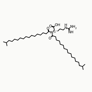 CC(C)CCCCCCCCCCCCCCC(=O)N(C(=O)CCCCCCCCCCCCCCC(C)C)[C@@H](CCCNC(=N)N)C(=O)O